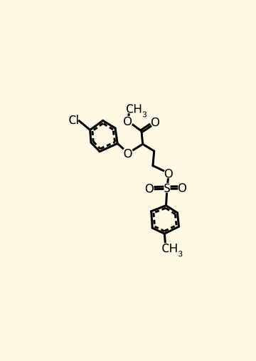 COC(=O)C(CCOS(=O)(=O)c1ccc(C)cc1)Oc1ccc(Cl)cc1